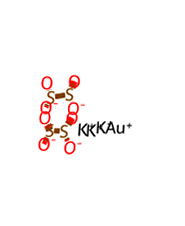 O=S([O-])S(=O)[O-].O=S([O-])S(=O)[O-].[Au+].[K+].[K+].[K+]